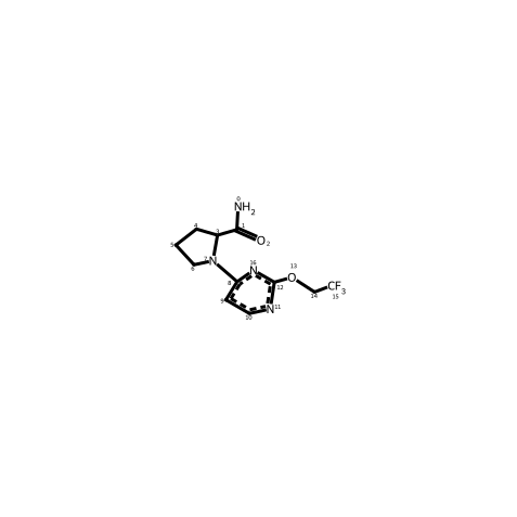 NC(=O)C1CCCN1c1ccnc(OCC(F)(F)F)n1